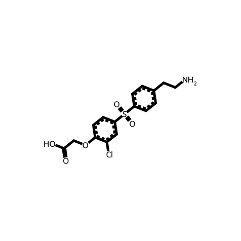 NCCc1ccc(S(=O)(=O)c2ccc(OCC(=O)O)c(Cl)c2)cc1